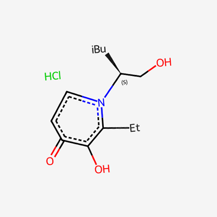 CCc1c(O)c(=O)ccn1[C@H](CO)C(C)CC.Cl